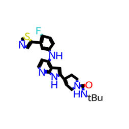 CC(C)(C)NC(=O)N1CC=C(c2cc3c(Nc4ccc(F)c(-c5cncs5)c4)ccnc3[nH]2)CC1